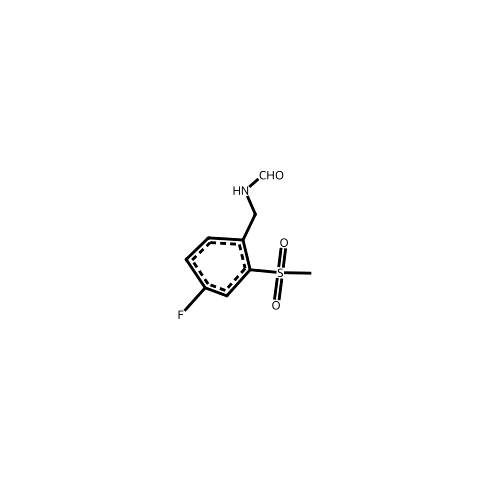 CS(=O)(=O)c1cc(F)ccc1CNC=O